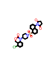 O=C1CCC(=O)N1c1cccc2c(S(=O)(=O)N3CCC(N4C(=O)OCc5c(Cl)cccc54)CC3)cccc12